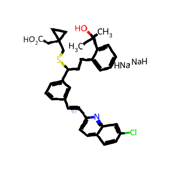 CC(C)(O)c1ccccc1CCC(SCC1(CC(=O)O)CC1)c1cccc(/C=C/c2ccc3ccc(Cl)cc3n2)c1.[NaH].[NaH]